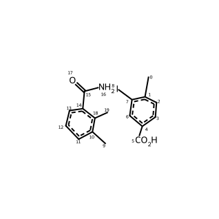 Cc1ccc(C(=O)O)cc1I.Cc1cccc(C(N)=O)c1C